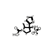 CC1N(C(=O)O)CCC1(NS(C)(=O)=O)c1cscn1